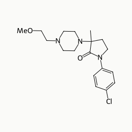 COCCN1CCN(C2(C)CCN(c3ccc(Cl)cc3)C2=O)CC1